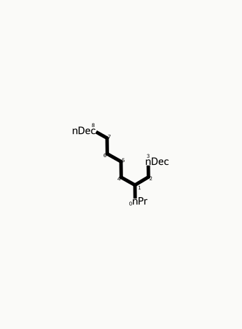 [CH2]CCC(CCCCCCCCCCC)CCCCCCCCCCCCCC